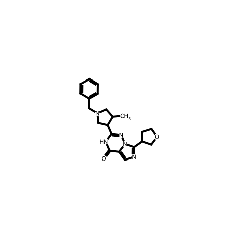 CC1CN(Cc2ccccc2)CC1c1nn2c(C3CCOC3)ncc2c(=O)[nH]1